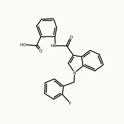 O=C(O)c1ccccc1NC(=O)c1cn(Cc2ccccc2F)c2ccccc12